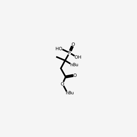 CCCCOC(=O)CC(C)(CCCC)P(=O)(O)O